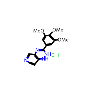 COc1cc(C2=Nc3cnccc3NN2)cc(OC)c1OC.Cl